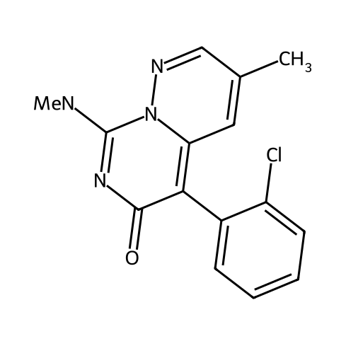 CNc1nc(=O)c(-c2ccccc2Cl)c2cc(C)cnn12